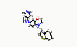 c1ccc2c(CCN3CCOc4cc(Nc5ccncc5)ccc43)csc2c1